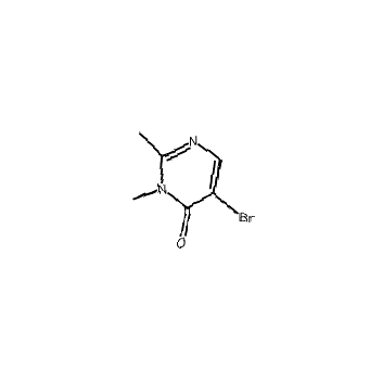 Cc1ncc(Br)c(=O)n1C